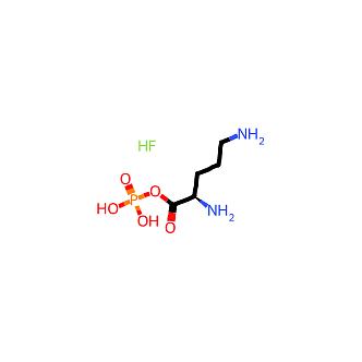 F.NCCC[C@@H](N)C(=O)OP(=O)(O)O